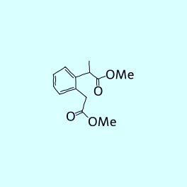 COC(=O)Cc1ccccc1C(C)C(=O)OC